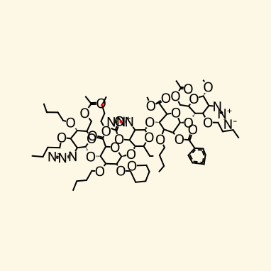 CCCCOC(=O)C1O[C@@H](O[C@@H]2C(CC)O[C@H](O[C@@H]3C(C(=O)OC)O[C@@H](O[C@@H]4C(COC(C)=O)O[C@H](OC)C(N=[N+]=[N-])C4OCCCC)C(OC(=O)c4ccccc4)C3OCCCC)C(N=[N+]=[N-])C2OC(C)=O)C(OC2CCCCO2)C(OCCCC)[C@@H]1O[C@H]1OC(COC(C)=O)[C@@H](OCCCC)C(OCCCC)C1N=[N+]=[N-]